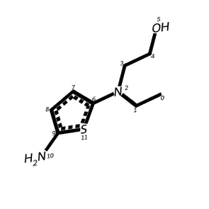 CCN(CCO)c1ccc(N)s1